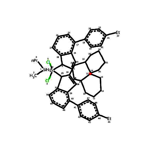 CCC[SiH](C)[Zr]([Cl])([Cl])([CH]1C(CC2CCCCC2)=Cc2c(-c3ccc(CC)cc3)cccc21)[CH]1C(CC2CCCCC2)=Cc2c(-c3ccc(CC)cc3)cccc21